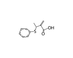 C=C(C(=O)O)C(C)Sc1ccccc1